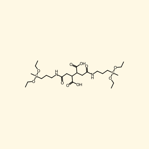 CCO[Si](C)(CCCNC(=O)CC(C(=O)O)C(CC(=O)NCCC[Si](C)(OCC)OCC)C(=O)O)OCC